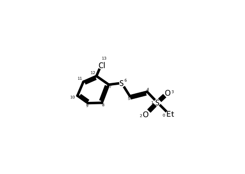 CCS(=O)(=O)C=CSc1ccccc1Cl